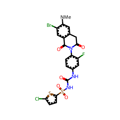 CNc1cc2c(cc1Br)C(=O)N(c1ccc(NC(=O)NS(=O)(=O)c3ccc(Cl)s3)cc1F)C(=O)C2